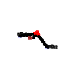 CCCCCCCC/C=C\CCCCCCCCOP(=O)(CCCBr)OCCCCCCCC/C=C\CCCCCCCC